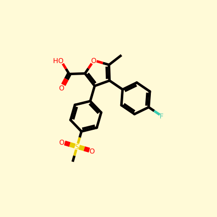 Cc1oc(C(=O)O)c(-c2ccc(S(C)(=O)=O)cc2)c1-c1ccc(F)cc1